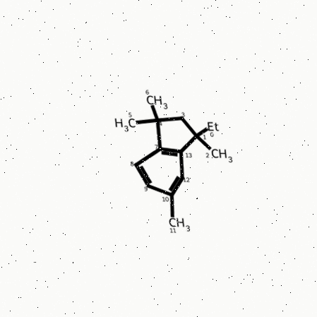 CCC1(C)CC(C)(C)c2ccc(C)cc21